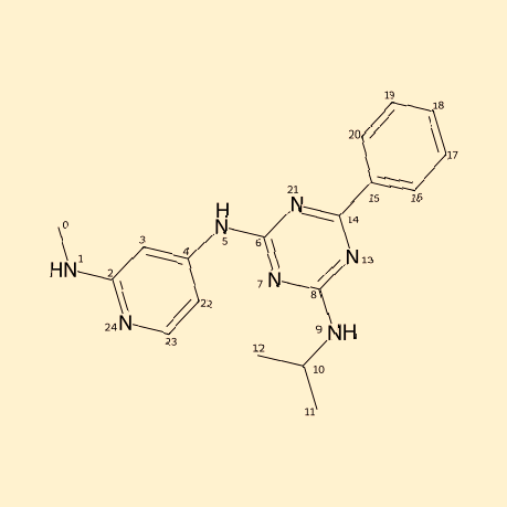 CNc1cc(Nc2nc(NC(C)C)nc(-c3ccccc3)n2)ccn1